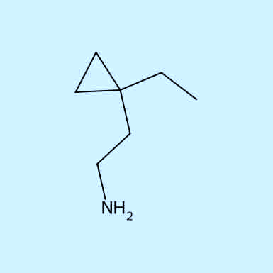 CCC1(CCN)CC1